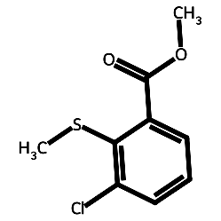 COC(=O)c1cccc(Cl)c1SC